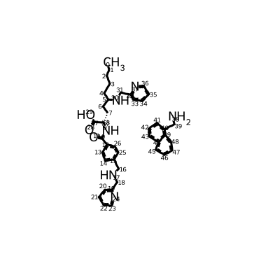 CCCCCC(CC[C@H](NC(=O)c1ccc(CNCc2ccccn2)cc1)C(=O)O)NCc1ccccn1.NCc1cccc2ccccc12